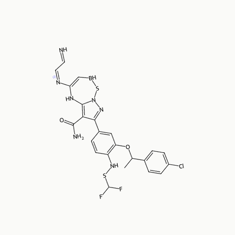 CC(Oc1cc(-c2nn3c(c2C(N)=O)NC(/N=C\C=N)=CBS3)ccc1NSC(F)F)c1ccc(Cl)cc1